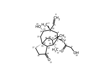 C=C[C@]1(C)C[C@@H](OC(=O)CO)[C@@]2(C)C3C(=O)CC[C@@]3(CC[C@H]2C)C[C@@H]1O